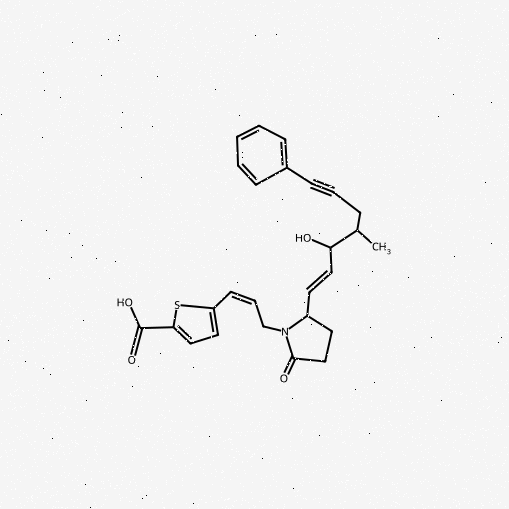 CC(CC#Cc1ccccc1)C(O)/C=C/C1CCC(=O)N1C/C=C\c1ccc(C(=O)O)s1